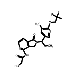 CCC(c1cnc(OCC(F)(F)F)c(C)c1)N1Cc2c(ccnc2NC(=O)CO)C1=O